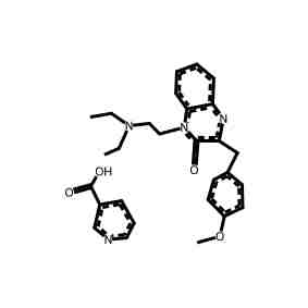 CCN(CC)CCn1c(=O)c(Cc2ccc(OC)cc2)nc2ccccc21.O=C(O)c1cccnc1